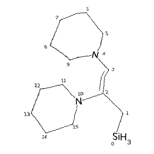 [SiH3]CC(=CN1CCCCC1)N1CCCCC1